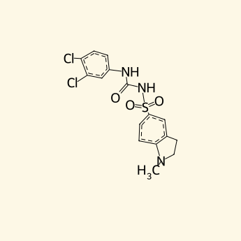 CN1CCc2cc(S(=O)(=O)NC(=O)Nc3ccc(Cl)c(Cl)c3)ccc21